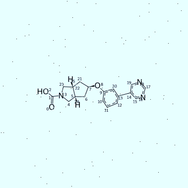 O=C(O)N1C[C@H]2C[C@H](Oc3cccc(-c4cncnc4)c3)C[C@H]2C1